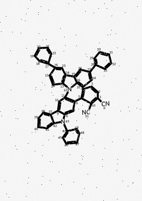 N#Cc1cccc(-c2cc3c(cc2-n2c4ccc(-c5ccccc5)cc4c4cc(-c5ccccc5)ccc42)c2ccccc2n3-c2ccccc2)c1C#N